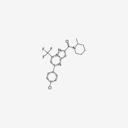 CC1CCCCN1C(=O)c1cc2nc(-c3ccc(Cl)cc3)cc(C(F)(F)F)n2n1